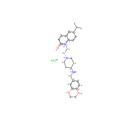 CC(C)c1ccc2c(ccc(=O)n2CCN2CCC(NCc3ccc4c(c3)OCCO4)CC2)c1.Cl